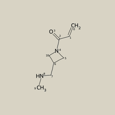 C=CC(=O)N1CC(CNC)C1